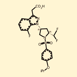 CC(C)Oc1ccc(S(=O)(=O)N2C[C@H](n3nc(CC(=O)O)c4cccc(F)c43)C[C@@H]2C(F)F)cc1